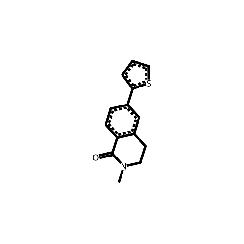 CN1CCc2cc(-c3cccs3)ccc2C1=O